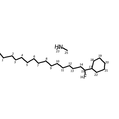 CCCCCCCCCCCCCCCC(F)C1CCCCC1.CNC